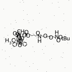 CN1C(=O)[C@@]23C[C@]4(C)c5ccccc5N(S(=O)(=O)c5ccccc5)[C@@H]4N2C(=O)[C@]1(COC(=O)OCCCCC(=O)NCCOCCOCCNC(=O)OC(C)(C)C)SS3